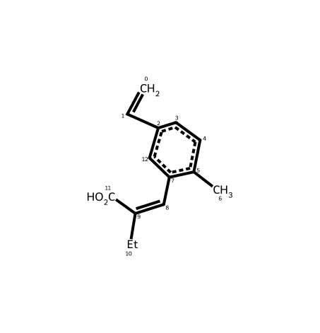 C=Cc1ccc(C)c(C=C(CC)C(=O)O)c1